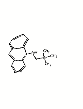 CS(C)(C)CNc1c2ccccc2cc2ccccc12